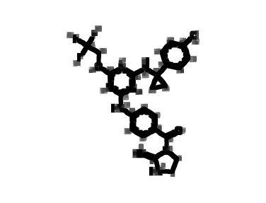 N=C1NCCN1C(=O)c1ccc(Nc2nc(NC3(c4ccc(Cl)cc4)CC3)nc(OCC(F)(F)F)n2)cc1